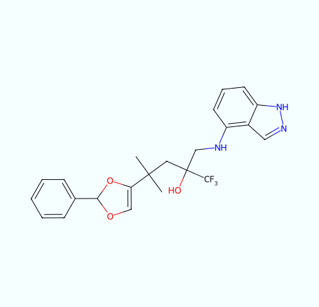 CC(C)(CC(O)(CNc1cccc2[nH]ncc12)C(F)(F)F)C1=COC(c2ccccc2)O1